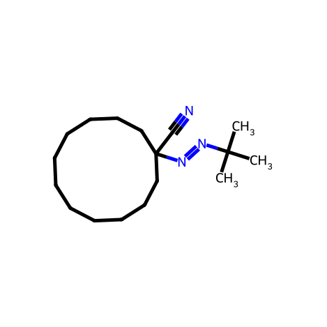 CC(C)(C)N=NC1(C#N)CCCCCCCCCCC1